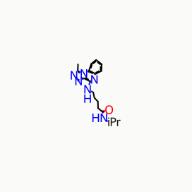 Cc1nnc2c(NCCCCC(=O)NC(C)C)nc3ccccc3n12